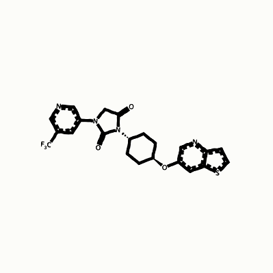 O=C1CN(c2cncc(C(F)(F)F)c2)C(=O)N1[C@H]1CC[C@H](Oc2cnc3ccsc3c2)CC1